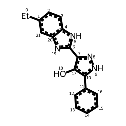 CCc1ccc2[nH]c(-c3n[nH]c(-c4ccccc4)c3O)nc2c1